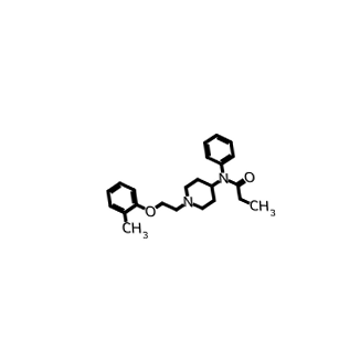 CCC(=O)N(c1ccccc1)C1CCN(CCOc2ccccc2C)CC1